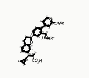 COc1cc(-c2ccc([C@@H]3CCc4ccc([C@H](C5CC5)[C@H](C)C(=O)O)cc4O3)cc2CNC(C)C)ccn1